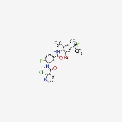 CN(C(=O)c1cccnc1Cl)c1cc(C(=O)Nc2c(Br)cc(C(F)(C(F)(F)F)C(F)(F)F)cc2C(F)(F)F)ccc1F